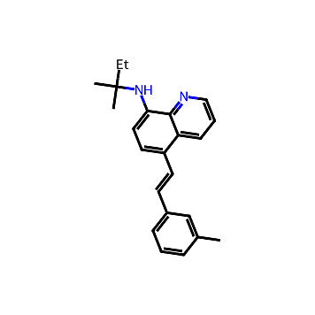 CCC(C)(C)Nc1ccc(C=Cc2cccc(C)c2)c2cccnc12